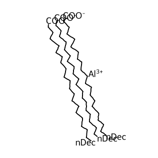 CCCCCCCCCCCCCCCCCCCCCCCCCCCCCC(=O)[O-].CCCCCCCCCCCCCCCCCCCCCCCCCCCCCC(=O)[O-].CCCCCCCCCCCCCCCCCCCCCCCCCCCCCC(=O)[O-].[Al+3]